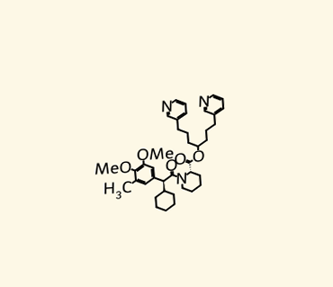 COc1cc([C@@H](C(=O)N2CCCC[C@H]2C(=O)OC(CCCc2cccnc2)CCCc2cccnc2)C2CCCCC2)cc(C)c1OC